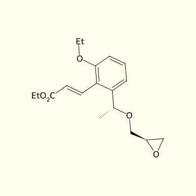 CCOC(=O)/C=C/c1c(OCC)cccc1[C@@H](C)OC[C@H]1CO1